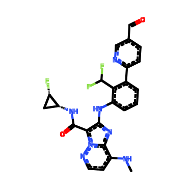 CNc1ccnn2c(C(=O)N[C@@H]3C[C@@H]3F)c(Nc3cccc(-c4ccc(C=O)cn4)c3C(F)F)nc12